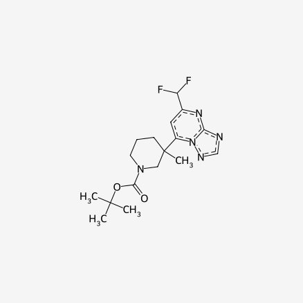 CC(C)(C)OC(=O)N1CCCC(C)(c2cc(C(F)F)nc3ncnn23)C1